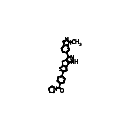 Cn1ncc2ccc(-c3n[nH]c4c3Cc3sc(-c5ccc(C(=O)N6CCCC6)cc5)cc3-4)cc21